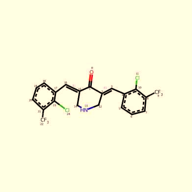 O=C1/C(=C/c2cccc(C(F)(F)F)c2Cl)CNC/C1=C\c1cccc(C(F)(F)F)c1Cl